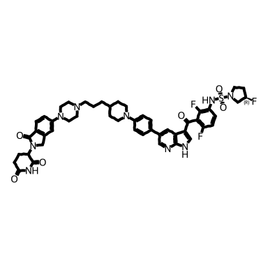 O=C1CCC(N2Cc3cc(N4CCN(CCCC5CCN(c6ccc(-c7cnc8[nH]cc(C(=O)c9c(F)ccc(NS(=O)(=O)N%10CC[C@@H](F)C%10)c9F)c8c7)cc6)CC5)CC4)ccc3C2=O)C(=O)N1